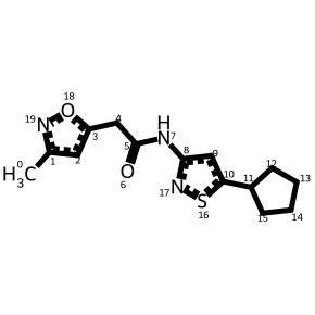 Cc1cc(CC(=O)Nc2cc(C3CCCC3)sn2)on1